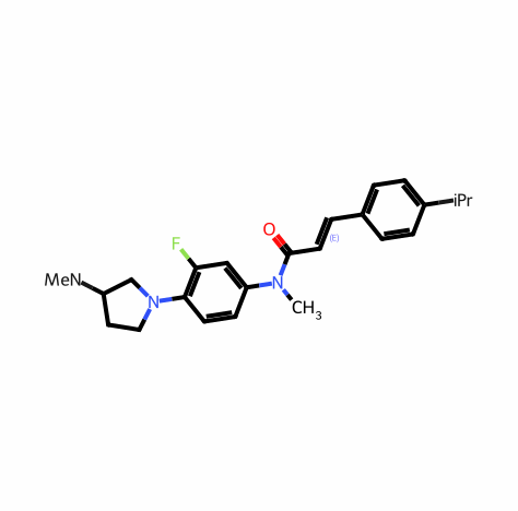 CNC1CCN(c2ccc(N(C)C(=O)/C=C/c3ccc(C(C)C)cc3)cc2F)C1